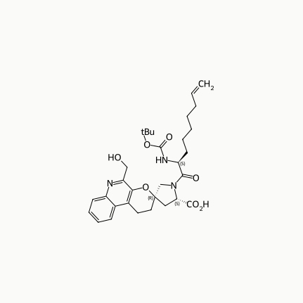 C=CCCCCC[C@H](NC(=O)OC(C)(C)C)C(=O)N1C[C@@]2(CCc3c(c(CO)nc4ccccc34)O2)C[C@H]1C(=O)O